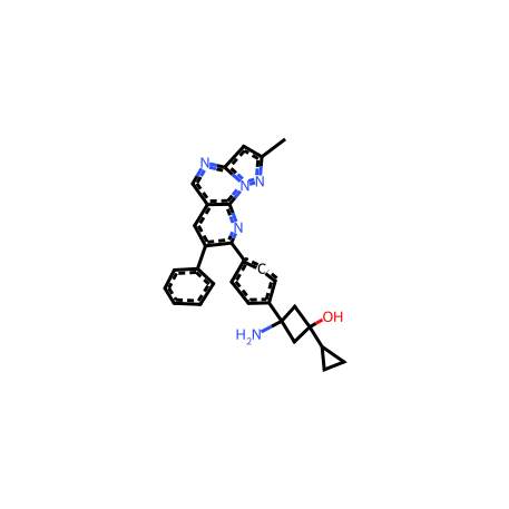 Cc1cc2ncc3cc(-c4ccccc4)c(-c4ccc(C5(N)CC(O)(C6CC6)C5)cc4)nc3n2n1